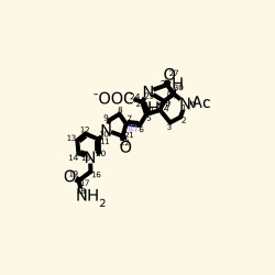 CC(=O)N1CCC2C(/C=C3\CCN(c4ccc[n+](CC(N)=O)c4)C3=O)=C(C(=O)[O-])N3C(=O)[C@@H]1[C@@H]23